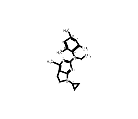 CCN(c1nc(C)c2c(n1)N(C1CC1)CC2)c1c(C)cc(C)cc1C